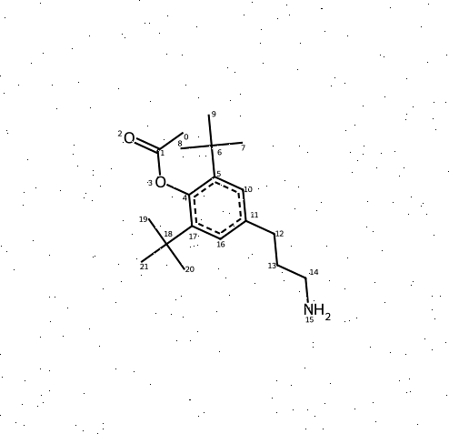 CC(=O)Oc1c(C(C)(C)C)cc(CCCN)cc1C(C)(C)C